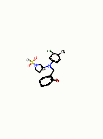 CCS(=O)(=O)N1CC[C@H](N(Cc2ccccc2Br)c2ccc(C#N)c(Cl)c2)C1